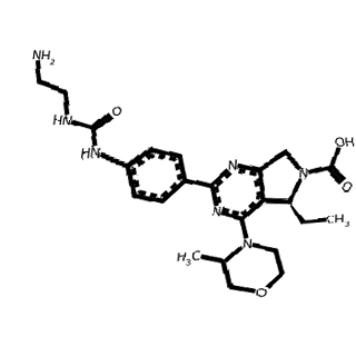 CC[C@H]1c2c(nc(-c3ccc(NC(=O)NCCN)cc3)nc2N2CCOCC2C)CN1C(=O)O